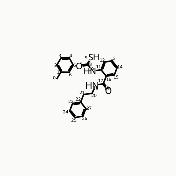 Cc1ccccc1.O=C(S)Nc1ccccc1C(=O)NCCc1ccccc1